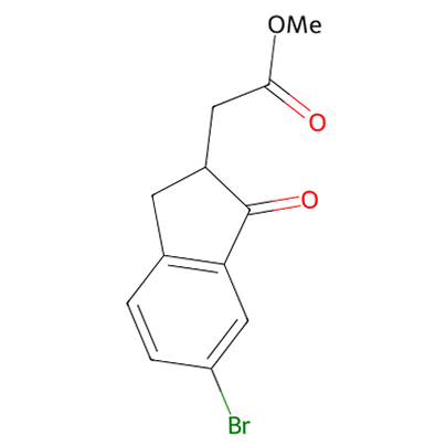 COC(=O)CC1Cc2ccc(Br)cc2C1=O